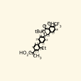 CCc1cc(C(C)C(=O)O)ccc1-c1ccc(OCc2ccc(C(F)(F)F)c(O)c2C(=O)OC(C)(C)C)cc1